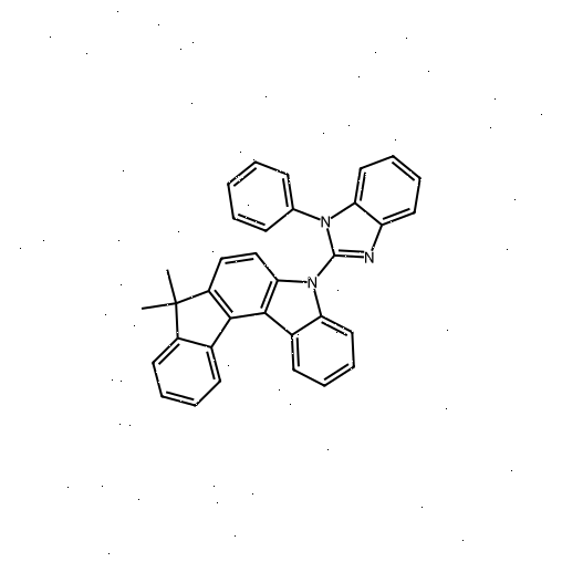 CC1(C)c2ccccc2-c2c1ccc1c2c2ccccc2n1-c1nc2ccccc2n1-c1ccccc1